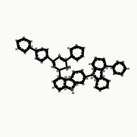 c1ccc(C2=NC(c3ccc(-c4ccccc4)cc3)=NC(c3cccc4oc5cc(-n6c7ccccc7c7c(-c8ccccc8)cccc76)ccc5c34)N2)cc1